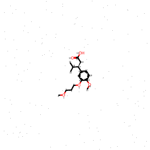 COCCCOc1cc([C@H](CC(=O)O)C(C)C)ccc1OC